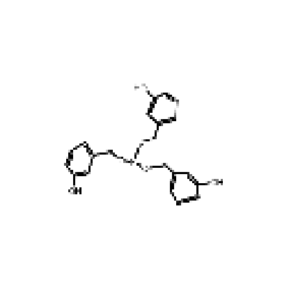 Oc1cccc(COP(OCc2cccc(O)c2)OCc2cccc(O)c2)c1